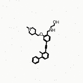 Cc1c(C#Cc2ccc(CNCCO)c(OCC3CCN(C)CC3)c2)cccc1-c1ccccc1